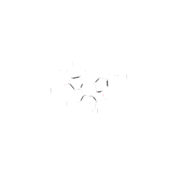 CC=C(c1cc(OC)c(OC)c(OC)c1)c1c(C)oc2cc(OC)ccc12